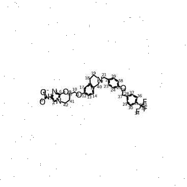 O=[N+]([O-])c1cn2c(n1)O[C@@H](COc1ccc3c(c1)CCN(Cc1ccc(OCc4ccc(C(F)(F)F)cc4)cc1)C3)CC2